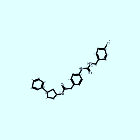 O=C(Cc1ccc(NC(=O)NCc2ccc(Cl)cc2)cc1)NC1CCC(c2ccccc2)C1